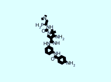 CN(C)C[C@H](P)NC(=O)N1CC(C(=N)Nc2cccc(NC(=O)c3ccc(N)cc3)c2)=C(N)C1(C)C